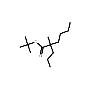 CCCCC(C)(CCC)C(=O)OC(C)(C)C